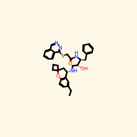 CCc1ccc2c(c1)[C@@H](NC[C@@H](O)[C@H](Cc1ccccc1)NC(=O)CSc1nncc3ccccc13)CC1(CCC1)O2